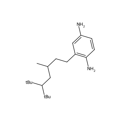 CC(CCc1cc(N)ccc1N)CC(C(C)(C)C)C(C)(C)C